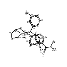 CCN(CC)C(=O)c1ccc(C(=C2CC3CCC(C2)N3Cc2ccc(Cl)cc2)c2cccc(O)c2)cc1